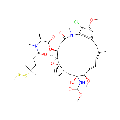 COC(=O)N[C@]1(O)C[C@@H](C)[C@@H]2O[C@@]2(C)[C@@H](OC(=O)[C@H](C)N(C)C(=O)CCC(C)(C)SSC)CC(=O)N(C)c2cc(cc(OC)c2Cl)C/C(C)=C/C=C/[C@H]1OC